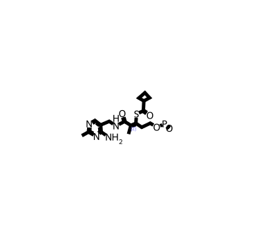 C/C(C(=O)NCc1cnc(C)nc1N)=C(\CCOP=O)SC(=O)C1CCC1